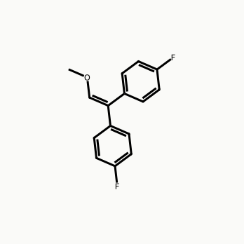 COC=C(c1ccc(F)cc1)c1ccc(F)cc1